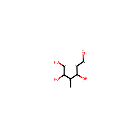 CC(C(O)CO)C(O)CCO